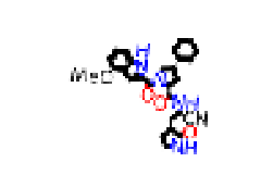 COc1cccc2[nH]c(C(=O)N3C[C@H](C4=CCCCC4)C[C@H]3C(=O)N[C@H](C#N)C[C@@H]3CCNC3=O)cc12